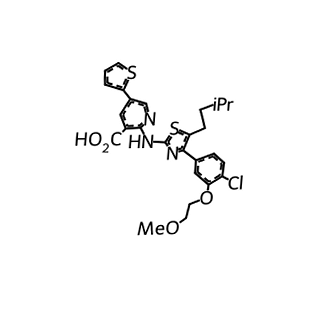 COCCOc1cc(-c2nc(Nc3ncc(-c4cccs4)cc3C(=O)O)sc2CCC(C)C)ccc1Cl